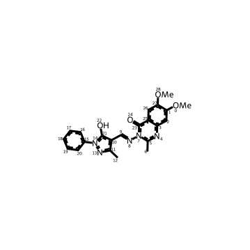 COc1cc2nc(C)n(N=Cc3c(C)nn(-c4ccccc4)c3O)c(=O)c2cc1OC